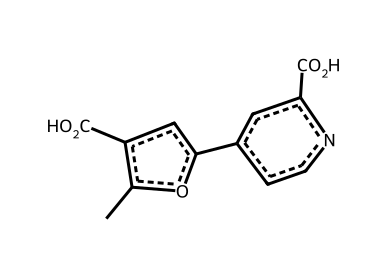 Cc1oc(-c2ccnc(C(=O)O)c2)cc1C(=O)O